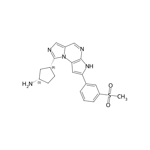 CS(=O)(=O)c1cccc(-c2cc3c(ncc4cnc([C@@H]5CC[C@H](N)C5)n43)[nH]2)c1